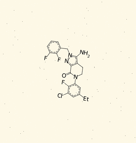 CCc1cc(Cl)c(F)c(N2CCc3c(nn(Cc4cccc(F)c4F)c3N)C2=O)c1